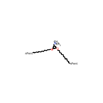 CCCCCC=CCC=CCCCCCCCCOc1cc(CN(C)C)cc(OCCCCCCCCC=CCC=CCCCCC)c1